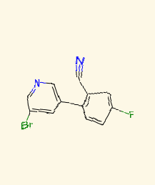 N#Cc1cc(F)ccc1-c1cncc(Br)c1